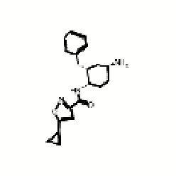 N[C@H]1CC[C@H](NC(=O)c2cc(C3CC3)on2)[C@H](Cc2ccccc2)C1